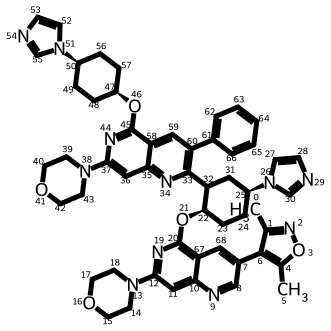 Cc1noc(C)c1-c1cnc2cc(N3CCOCC3)nc(O[C@@H]3CC[C@H](n4ccnc4)CC3c3nc4cc(N5CCOCC5)nc(O[C@H]5CC[C@@H](n6ccnc6)CC5)c4cc3-c3ccccc3)c2c1